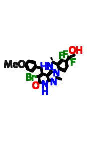 COc1ccc(Cc2c(Br)c(=O)[nH]c3nc(C)nc(N[C@H](C)c4cccc(C(F)(F)CO)c4F)c23)cc1